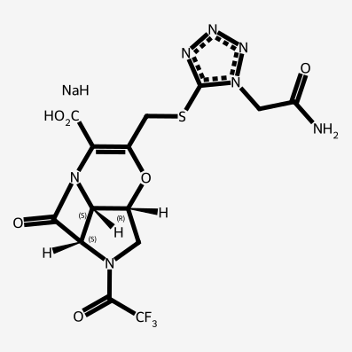 NC(=O)Cn1nnnc1SCC1=C(C(=O)O)N2C(=O)[C@@H]3[C@H]2[C@@H](CN3C(=O)C(F)(F)F)O1.[NaH]